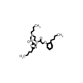 CCCCc1nnc([N+]2([O-])CN(CCCC)CC2OC(=O)COc2ccccc2CCCC)s1